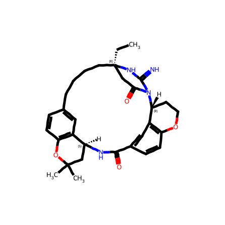 CC[C@]12CCCCc3ccc4c(c3)[C@H](CC(C)(C)O4)NC(=O)c3ccc4c(c3)[C@@H](CCO4)N(C(=N)N1)C(=O)C2